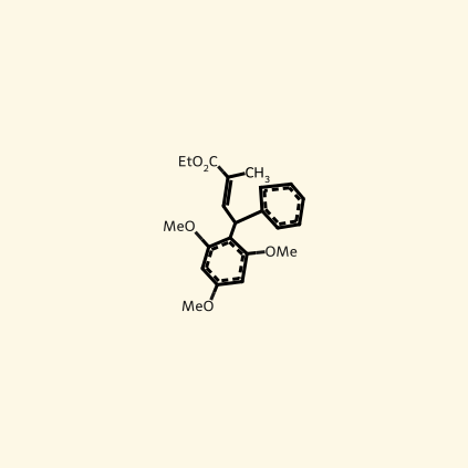 CCOC(=O)/C(C)=C/C(c1ccccc1)c1c(OC)cc(OC)cc1OC